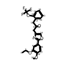 CCOc1cc(-c2nc(CC(=O)Cc3ccccc3OC(F)(F)F)co2)ccc1OC